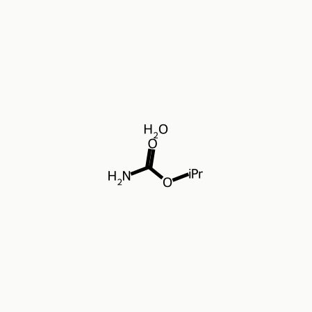 CC(C)OC(N)=O.O